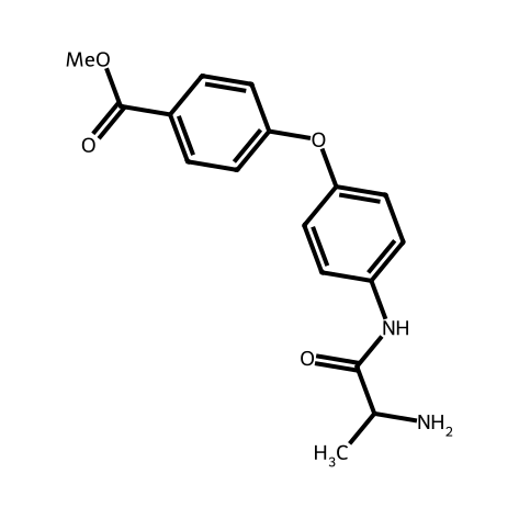 COC(=O)c1ccc(Oc2ccc(NC(=O)C(C)N)cc2)cc1